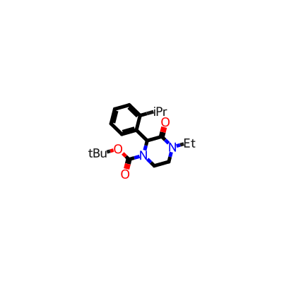 CCN1CCN(C(=O)OC(C)(C)C)C(c2ccccc2C(C)C)C1=O